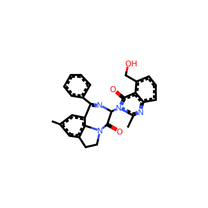 Cc1cc2c3c(c1)C(c1ccccc1)=NC(n1c(C)nc4cccc(CO)c4c1=O)C(=O)N3CC2